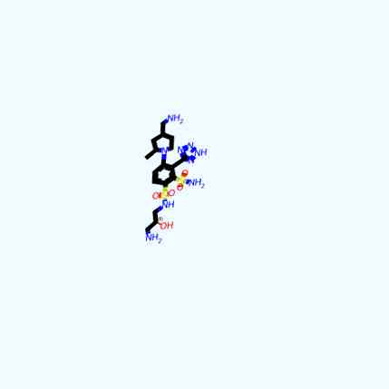 CC1CC(CN)CCN1c1ccc(S(=O)(=O)NC[C@H](O)CN)c(S(N)(=O)=O)c1-c1nn[nH]n1